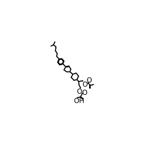 C=C(C)C(=O)OCC(CCOC(=O)C(=C)CO)C1CCC(C2CC=C(c3ccc(CCCCC(C)C)cc3)CC2)CC1